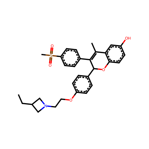 CCC1CN(CCOc2ccc(C3Oc4ccc(O)cc4C(C)=C3c3ccc(S(C)(=O)=O)cc3)cc2)C1